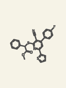 COC(=O)C(Sc1nc(-c2cccs2)cc(-c2ccc(F)cc2)c1C#N)c1ccccc1